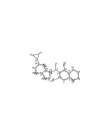 CC(c1c(F)cc2ncccc2c1F)n1cnc2ncc(C3CC3)nc21